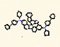 c1ccc(-c2ccc(N(c3ccccc3)c3ccc4c5c(ccc4c3)-c3ccc4cc(N(c6ccccc6)c6ccc(-c7ccccc7)cc6)ccc4c3C53c4ccccc4-c4c3ccc3ccccc43)cc2)cc1